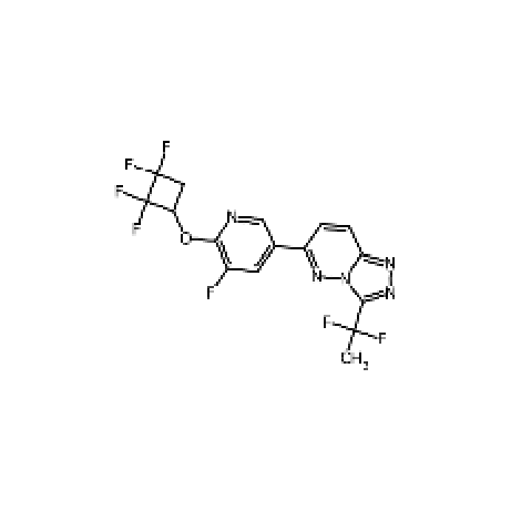 CC(F)(F)c1nnc2ccc(-c3cnc(OC4CC(F)(F)C4(F)F)c(F)c3)nn12